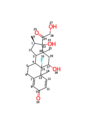 C[C@@H]1CC2C3CCC4=CC(=O)C=CC4(C)C3(F)C(O)CC2(C)C1(O)C(=O)CO